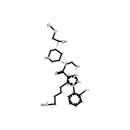 CCOCC(O)[C@H]1CNC[C@@H](N(CC(C)C)C(=O)c2nnn(-c3ccccc3F)c2CCCCOC)C1